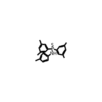 Cc1ccc(NP(=S)(c2cc(C)cc(C)c2)c2cc(C)cc(C)c2)cc1